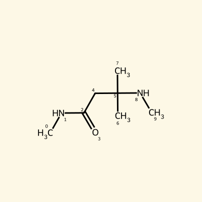 CNC(=O)CC(C)(C)NC